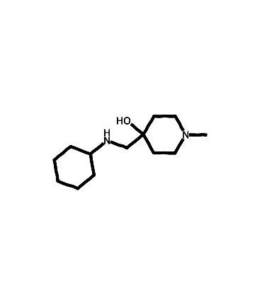 CN1CCC(O)(CNC2CCCCC2)CC1